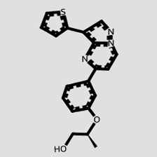 C[C@@H](CO)Oc1cccc(-c2ccn3ncc(-c4cccs4)c3n2)c1